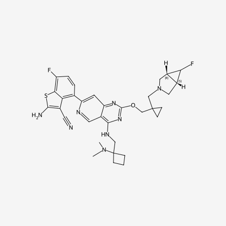 CN(C)C1(CNc2nc(OCC3(CN4C[C@@H]5C(F)[C@@H]5C4)CC3)nc3cc(-c4ccc(F)c5sc(N)c(C#N)c45)ncc23)CCC1